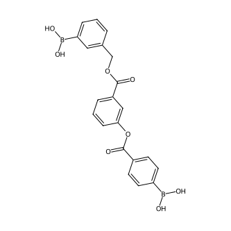 O=C(OCc1cccc(B(O)O)c1)c1cccc(OC(=O)c2ccc(B(O)O)cc2)c1